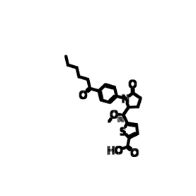 CCCCCC(=O)c1ccc(N2C(=O)CCC2[C@H](OC)c2ccc(C(=O)O)s2)cc1